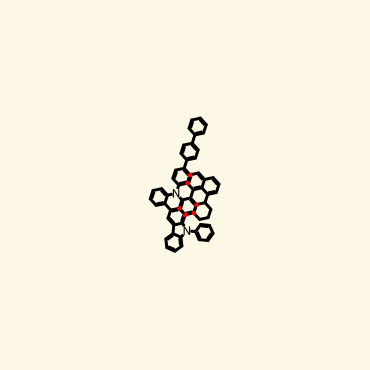 c1ccc(-c2ccc(-c3ccc(N(c4ccccc4-c4ccc5c(c4)c4ccccc4n5-c4ccccc4)c4ccccc4-c4cccc5cccc(C6CCCCC6)c45)cc3)cc2)cc1